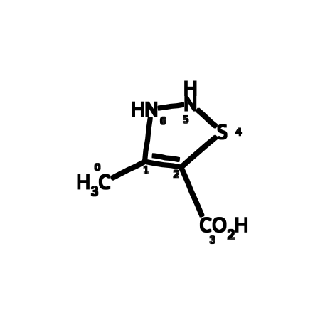 CC1=C(C(=O)O)SNN1